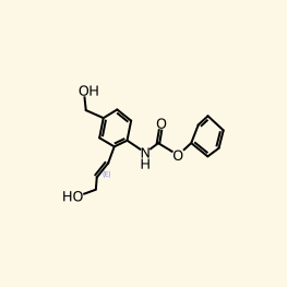 O=C(Nc1ccc(CO)cc1/C=C/CO)Oc1ccccc1